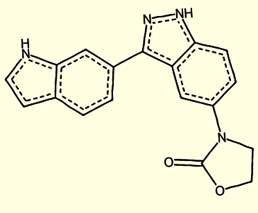 O=C1OCCN1c1ccc2[nH]nc(-c3ccc4cc[nH]c4c3)c2c1